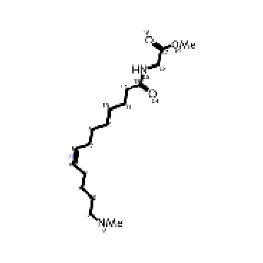 CNCCCC/C=C\CCCCCCC(=O)NCC(=O)OC